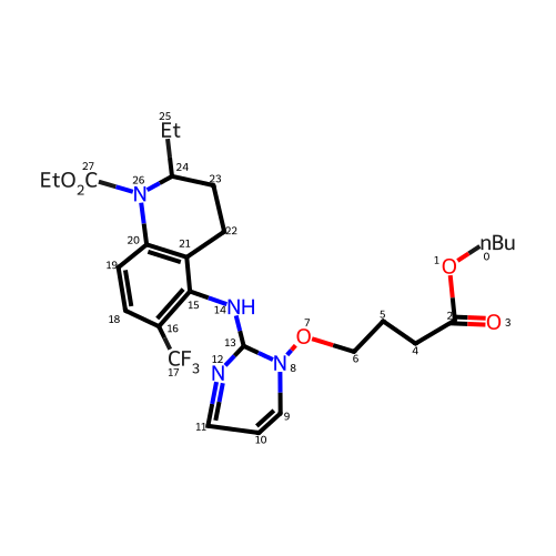 CCCCOC(=O)CCCON1C=CC=NC1Nc1c(C(F)(F)F)ccc2c1CCC(CC)N2C(=O)OCC